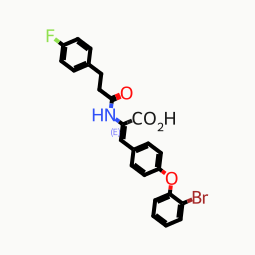 O=C(CCc1ccc(F)cc1)N/C(=C/c1ccc(Oc2ccccc2Br)cc1)C(=O)O